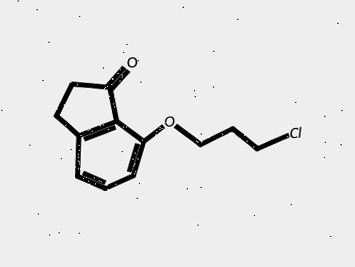 O=C1CCc2cccc(OCCCCl)c21